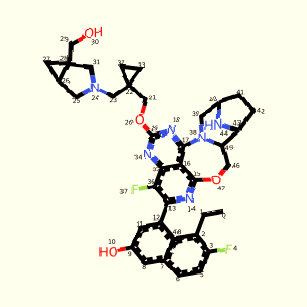 CCc1c(F)ccc2cc(O)cc(-c3nc4c5c(nc(OCC6(CN7CC8CC8(CO)C7)CC6)nc5c3F)N3CC5CCC(N5)C3CO4)c12